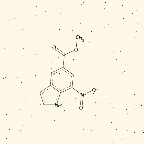 COC(=O)c1cc([N+](=O)[O-])c2[nH]ccc2c1